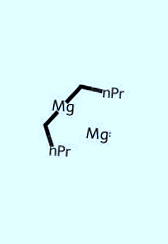 CCC[CH2][Mg][CH2]CCC.[Mg]